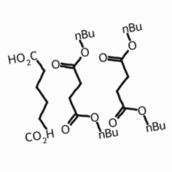 CCCCOC(=O)CCC(=O)OCCCC.CCCCOC(=O)CCC(=O)OCCCC.O=C(O)CCCCC(=O)O